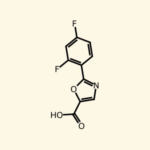 O=C(O)c1cnc(-c2ccc(F)cc2F)o1